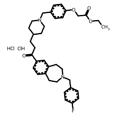 CCOC(=O)COc1ccc(CN2CCC(CCC(=O)c3ccc4c(c3)CCN(Cc3ccc(F)cc3)CC4)CC2)cc1.Cl.Cl